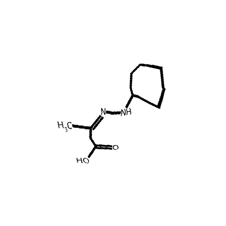 C/C(=N/NC1CCCCC1)C(=O)O